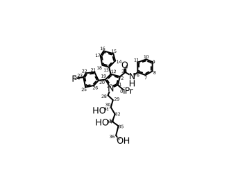 CC(C)c1c(C(=O)Nc2ccccc2)c(-c2ccccc2)c(-c2ccc(F)cc2)n1CC[C@@H](O)C[C@@H](O)CCO